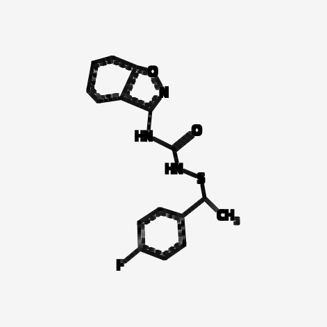 CC(SNC(=O)Nc1noc2ccccc12)c1ccc(F)cc1